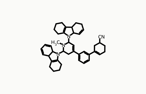 CN1C(N2C3=C(CCCC3)C3CCC=CC32)C=C(c2cccc(C3=CCCC(C#N)C3)c2)CC1N1C2=C(CCCC2)C2C=CC=CC21